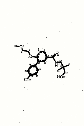 COCCOc1ncc(C(=O)NCC(C)(C)CO)cc1-c1ccc(Cl)cc1